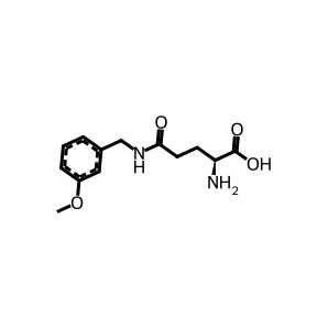 COc1cccc(CNC(=O)CC[C@H](N)C(=O)O)c1